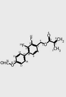 C=C(C)C(=O)OCc1ccc(-c2ccc(OC=O)cc2)c(F)c1F